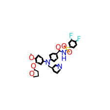 COc1ccc(N(Cc2cccnc2)c2ccc(C(=O)NS(=O)(=O)c3ccc(F)c(F)c3)cc2)cc1OC1CCCO1